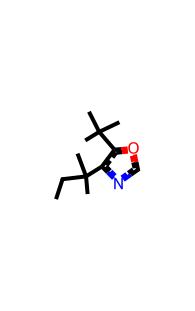 CCC(C)(C)c1ncoc1C(C)(C)C